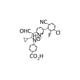 N#Cc1ccc(Cl)c(F)c1-c1ccc(C(C=O)C(Nc2ccc(C(=O)O)cc2)C2CC2)[n+]([O-])c1